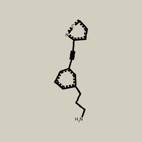 NCCCc1cccc(C#Cc2ccccn2)c1